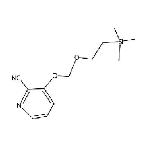 C[Si](C)(C)CCOCOc1cccnc1C#N